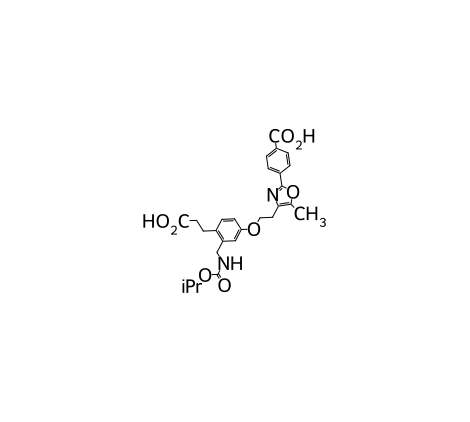 Cc1oc(-c2ccc(C(=O)O)cc2)nc1CCOc1ccc(CCC(=O)O)c(CNC(=O)OC(C)C)c1